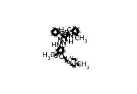 COc1cc(Nc2ncc(C(=O)Nc3c(C)cccc3C)c(Oc3ccccc3)n2)ccc1OCCN1CCN(C)CC1